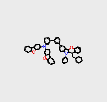 c1ccc2c(c#1)Oc1c(n(-c3ccccc3)c3ccc(-c4cccc(-c5cccc(N(c6ccc7c(c6)oc6ccccc67)c6ccc7c(c6)oc6ccccc67)c5)c4)cc13)C2Cc1ccccc1